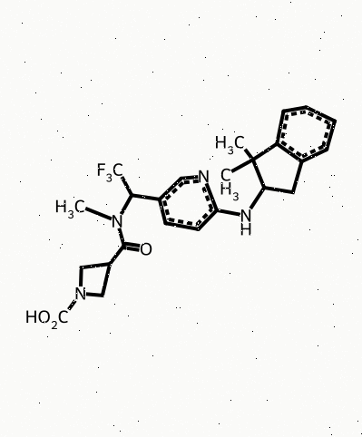 CN(C(=O)C1CN(C(=O)O)C1)C(c1ccc(NC2Cc3ccccc3C2(C)C)nc1)C(F)(F)F